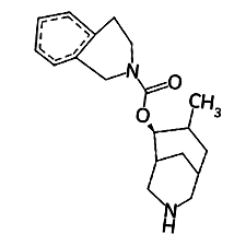 CC1CC2CNCC(C2)[C@H]1OC(=O)N1CCc2ccccc2C1